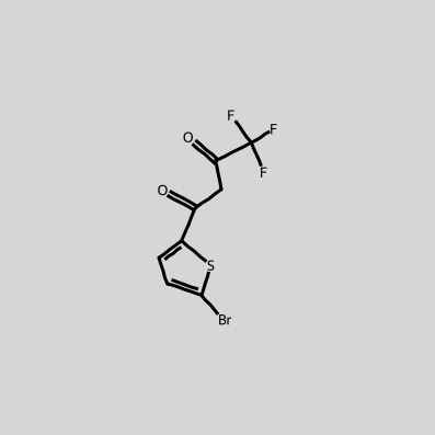 O=C(CC(=O)C(F)(F)F)c1ccc(Br)s1